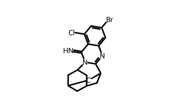 N=c1c2c(Cl)cc(Br)cc2nc2n1C1CC3CC(CC2C3)C1